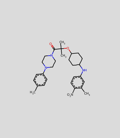 Cc1ccc(N2CCN(C(=O)C(C)(C)OC3CCC(Nc4ccc([N+](=O)[O-])c(C)c4)CC3)CC2)cc1